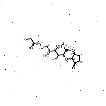 O=C(CI)NOCC(O)C(O)C(O)C(ON1C(=O)CCC1=O)C(=O)O